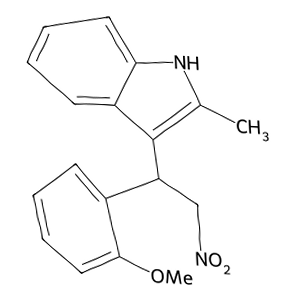 COc1ccccc1C(C[N+](=O)[O-])c1c(C)[nH]c2ccccc12